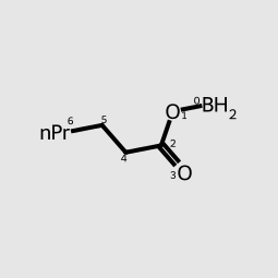 BOC(=O)CCCCC